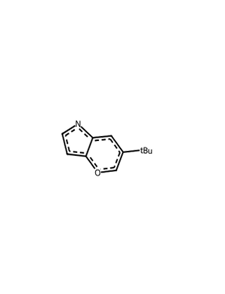 CC(C)(C)c1coc2ccnc-2c1